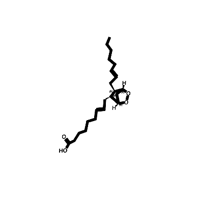 CCCCCC=CC[C@@H]1[C@@H](CC=CCCCCCC(=O)O)[C@H]2C[C@H]1OO2